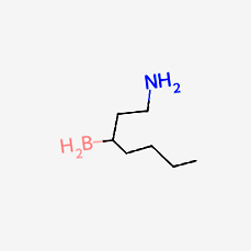 BC(CCN)CCCC